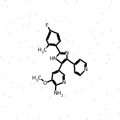 COc1cc(-c2[nH]c(-c3ccc(F)cc3C)nc2-c2ccncc2)cnc1N